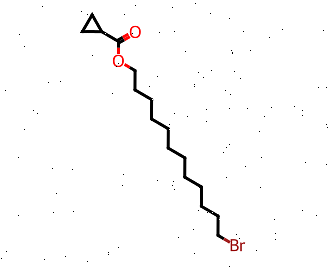 O=C(OCCCCCCCCCCCCBr)C1CC1